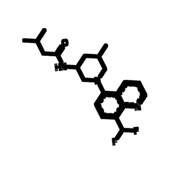 CC(C)CC(=O)NC1CC(C)CN(c2ccc(C(F)F)c3ncccc23)C1